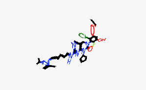 CCOc1cc(O)c(F)c(N2Cc3cnc(NCCCCCN(C(C)C)C(C)C)nc3N(C3CCCC3)C2=O)c1Cl